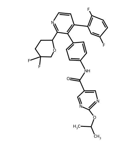 CC(C)Oc1ncc(C(=O)Nc2ccc(-c3c(-c4cc(F)ccc4F)ccnc3C3CCC(F)(F)CO3)cc2)cn1